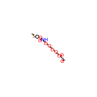 CCSC1CCC(OC(=O)NCCOCCOCCOCCOCCOC(=O)CCC(C)=O)CC1